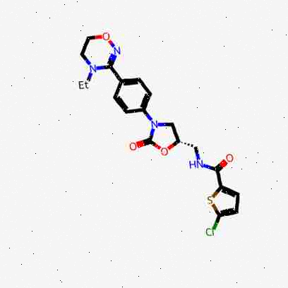 CCN1CCON=C1c1ccc(N2C[C@H](CNC(=O)c3ccc(Cl)s3)OC2=O)cc1